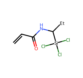 C=CC(=O)NC(CC)[Si](Cl)(Cl)Cl